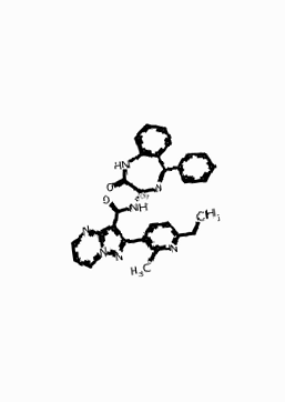 CCc1ccc(-c2nn3cccnc3c2C(=O)N[C@H]2N=C(c3ccccc3)c3ccccc3NC2=O)c(C)n1